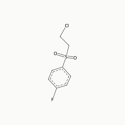 O=S(=O)(CCCl)c1ccc(F)cc1